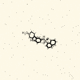 CN1CCc2c([nH]c3ccc(NS(=O)(=O)c4cccc5ccccc45)cc23)C1